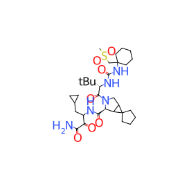 CC(C)(C)[C@H](NC(=O)NC1(CS(C)(=O)=O)CCCCC1)C(=O)N1CC2C([C@H]1C(=O)NC(CC1CC1)C(=O)C(N)=O)C21CCCC1